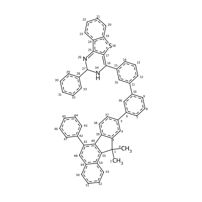 CC1(C)c2cc(-c3cccc(-c4cccc(C5=c6sc7ccccc7c6=NC(c6ccccc6)N5)c4)c3)ccc2-c2c(-c3ccccc3)cc3ccccc3c21